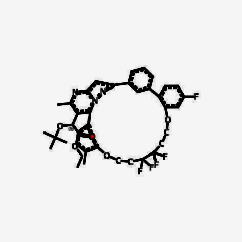 CCOC(=O)[C@@H](OC(C)(C)C)c1c(C)nc2cc3nn2c1-c1ccc(C)c(c1)OCCC(F)(F)C(F)(F)CCOc1cc(F)ccc1-c1cccc-3c1